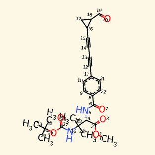 COC(=O)[C@@H](NC(=O)c1ccc(C#CC#CC2CC2C=O)cc1)C(C)(C)NC(=O)OC(C)(C)C